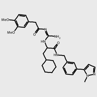 COc1ccc(CC(=O)N=C(N)NC(CC2CCCCC2)C(=O)NCc2cccc(-c3ccnn3C)c2)cc1OC